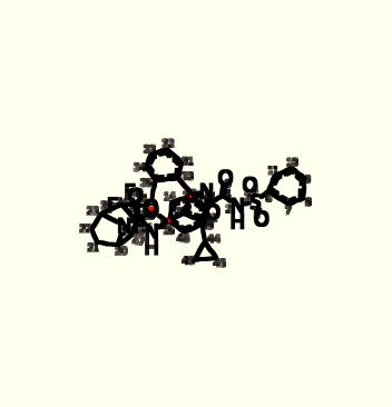 O=C(NS(=O)(=O)c1ccccc1)c1ccc(NC(=O)N2C3CCC2CC(OCc2c(-c4ccccc4OC(F)(F)F)noc2C2CC2)C3)cc1